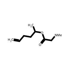 C=CCCC(C)OC(=O)CNC